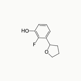 Oc1cccc(C2CCCO2)c1F